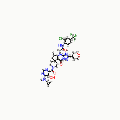 CC1CC2(CCN(C(=O)c3ncnc(N(C)C4CC4)c3O)CC2)c2c1n(CC(=O)Nc1ccc(C(F)(F)F)cc1Cl)c1nc(C3=CCOCC3)nn1c2=O